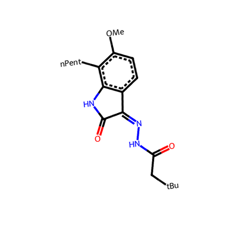 CCCCCc1c(OC)ccc2c1NC(=O)/C2=N\NC(=O)CC(C)(C)C